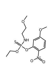 CCOP(=S)(NCCOC)Oc1cc(OC)ccc1[N+](=O)[O-]